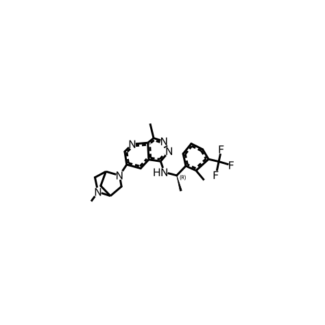 Cc1c([C@@H](C)Nc2nnc(C)c3ncc(N4CC5CC4CN5C)cc23)cccc1C(F)(F)F